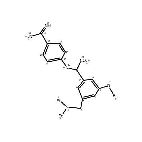 CCOc1cc(CN(CC)CC)cc(C(Nc2ccc(C(=N)N)cc2)C(=O)O)c1